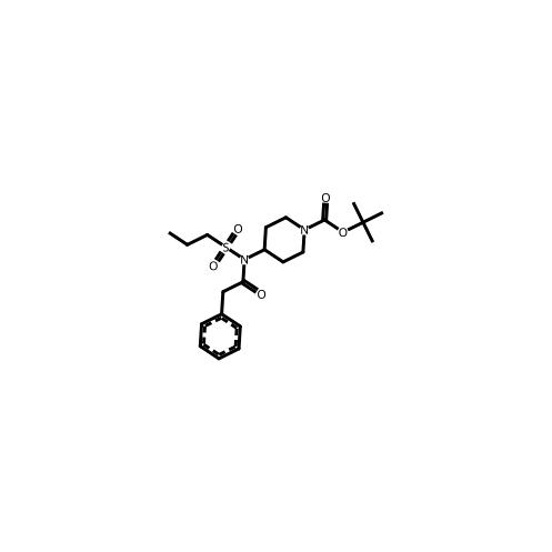 CCCS(=O)(=O)N(C(=O)Cc1ccccc1)C1CCN(C(=O)OC(C)(C)C)CC1